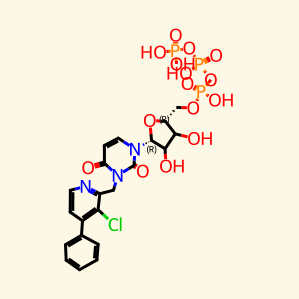 O=c1ccn([C@@H]2O[C@H](COP(=O)(O)OP(=O)(O)OP(=O)(O)O)C(O)C2O)c(=O)n1Cc1nccc(-c2ccccc2)c1Cl